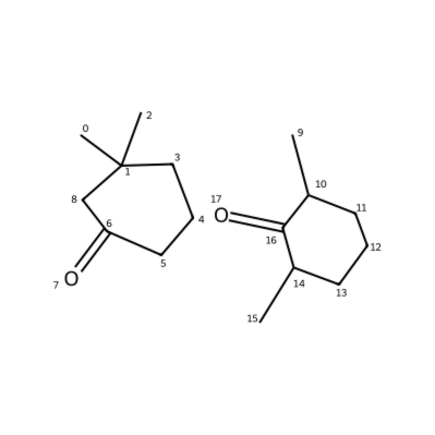 CC1(C)CCCC(=O)C1.CC1CCCC(C)C1=O